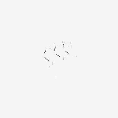 CCCCSCCCC.CCCCSCCCC.CCCCSCCCC.[Cl-].[Cl-].[Cl-].[Rh+3]